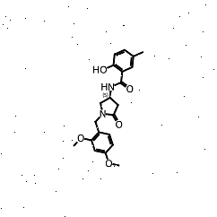 COc1ccc(CN2C[C@@H](NC(=O)c3cc(C)ccc3O)CC2=O)c(OC)c1